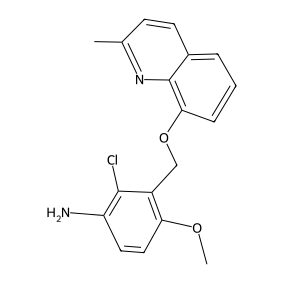 COc1ccc(N)c(Cl)c1COc1cccc2ccc(C)nc12